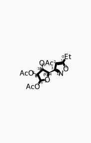 CCc1cc([C@H]2OC(OC(C)=O)[C@H](OC(C)=O)[C@@H]2OC(C)=O)no1